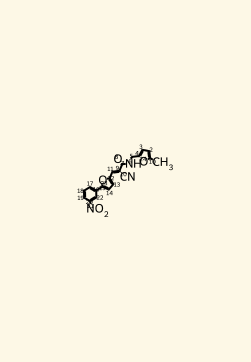 Cc1ccc(CNC(=O)/C(C#N)=C/c2ccc(-c3cccc([N+](=O)[O-])c3)o2)o1